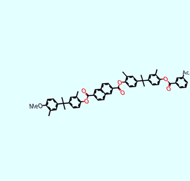 COc1ccc(C(C)(C)c2ccc(OC(=O)c3ccc4cc(C(=O)Oc5ccc(C(C)(C)c6ccc(OC(=O)c7cccc(C(C)=O)c7)c(C)c6)cc5C)ccc4c3)c(C)c2)cc1C